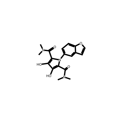 CN(C)C(=O)c1c(O)c(O)c(C(=O)N(C)C)n1-c1ccc2occc2c1